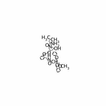 COc1ccccc1COCCCOc1ccc([C@H]2[C@H](O)CN(C(=O)C(N)CC(C)C)C[C@@H]2OCCOc2ccccc2CCNC(C)=O)cc1